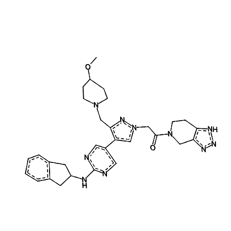 COC1CCN(Cc2nn(CC(=O)N3CCc4[nH]nnc4C3)cc2-c2cnc(NC3Cc4ccccc4C3)nc2)CC1